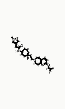 Cn1cc(CC(=O)NC2CCC[C@](F)(CCN3CCc4ccc(OCC(F)F)nc4CC3)CC2)cn1